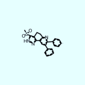 CS(=O)(=O)c1[nH]nc2c1CCc1nc(-c3cc[c]cc3)c(-c3ccccc3)cc1-2